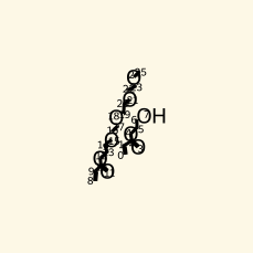 C=CC(=O)OCCO.C=CC(=O)OCCOCCOCCOCCOC